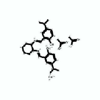 CC(=O)[O-].CC(=O)[O-].CC(C)c1ccc(O)c(C=NC2CCCCC2N=Cc2cc(C(C)C)ccc2O)c1.[Co+2]